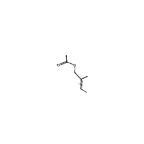 C/C=C(\C)COC(C)=O